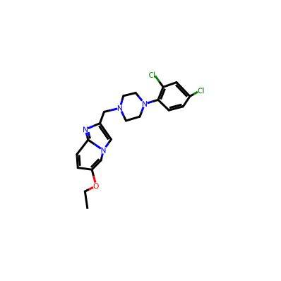 CCOc1ccc2nc(CN3CCN(c4ccc(Cl)cc4Cl)CC3)cn2c1